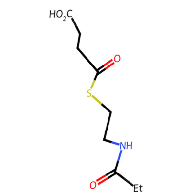 CCC(=O)NCCSC(=O)CCC(=O)O